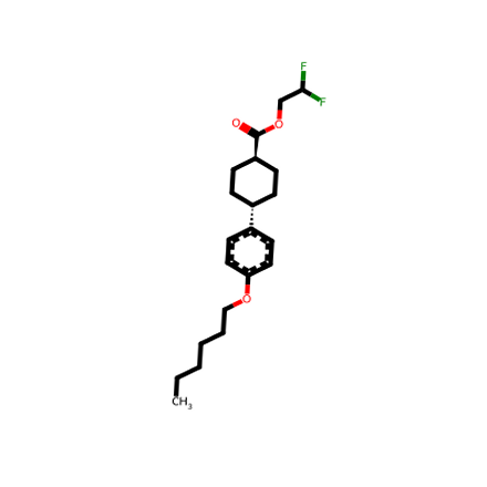 CCCCCCOc1ccc([C@H]2CC[C@H](C(=O)OCC(F)F)CC2)cc1